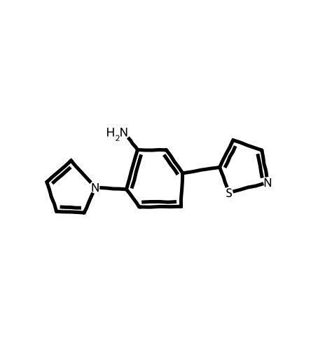 Nc1cc(-c2ccns2)ccc1-n1cccc1